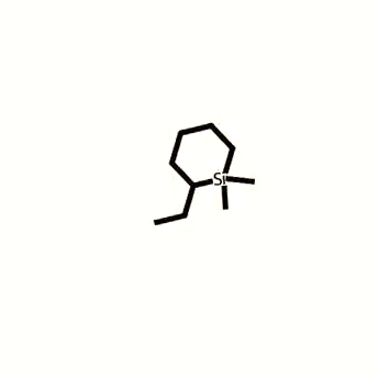 CCC1CCCC[Si]1(C)C